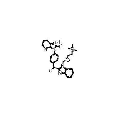 C[Si](C)(C)CCOCn1c(C(=O)c2ccc(-n3c(=O)[nH]c4cccnc43)cc2)nc2ccccc21